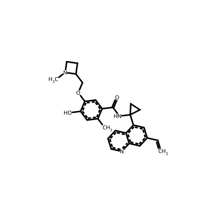 C=Cc1cc(C2(NC(=O)c3cc(OCC4CCN4C)c(O)cc3C)CC2)c2cccnc2c1